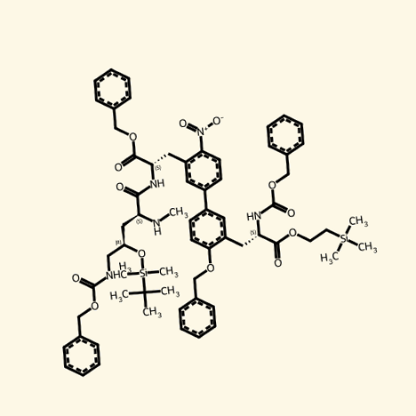 CN[C@@H](C[C@H](CNC(=O)OCc1ccccc1)O[Si](C)(C)C(C)(C)C)C(=O)N[C@@H](Cc1cc(-c2ccc(OCc3ccccc3)c(C[C@H](NC(=O)OCc3ccccc3)C(=O)OCC[Si](C)(C)C)c2)ccc1[N+](=O)[O-])C(=O)OCc1ccccc1